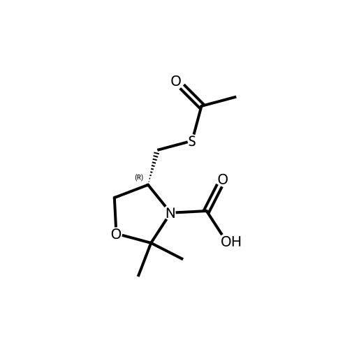 CC(=O)SC[C@H]1COC(C)(C)N1C(=O)O